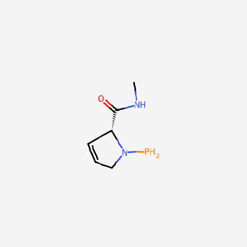 CNC(=O)[C@H]1C=CCN1P